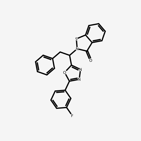 O=c1c2ccccc2sn1C(Cc1ccccc1)c1nnc(-c2cccc(F)c2)o1